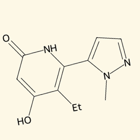 CCc1c(O)cc(=O)[nH]c1-c1ccnn1C